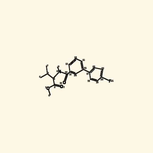 COC(=O)C(C(C)C)N(C)C(=O)c1cccc(-c2ccc(F)cc2)c1